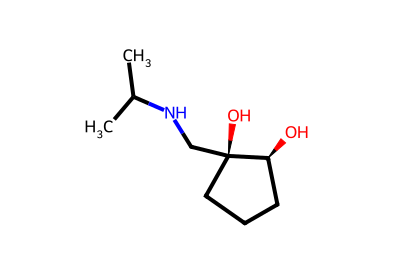 CC(C)NC[C@@]1(O)CCC[C@@H]1O